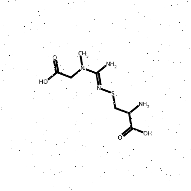 CN(CC(=O)O)/C(N)=N/SCC(N)C(=O)O